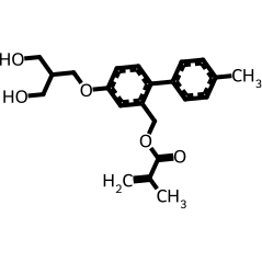 C=C(C)C(=O)OCc1cc(OCC(CO)CO)ccc1-c1ccc(C)cc1